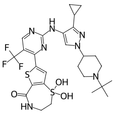 CC(C)(C)N1CCC(n2cc(Nc3ncc(C(F)(F)F)c(-c4cc5c(s4)C(=O)NCCS5(O)O)n3)c(C3CC3)n2)CC1